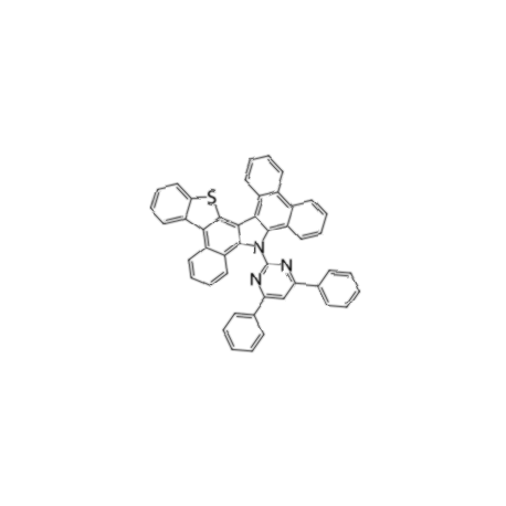 c1ccc(-c2cc(-c3ccccc3)nc(-n3c4c5ccccc5c5ccccc5c4c4c5sc6ccccc6c5c5ccccc5c43)n2)cc1